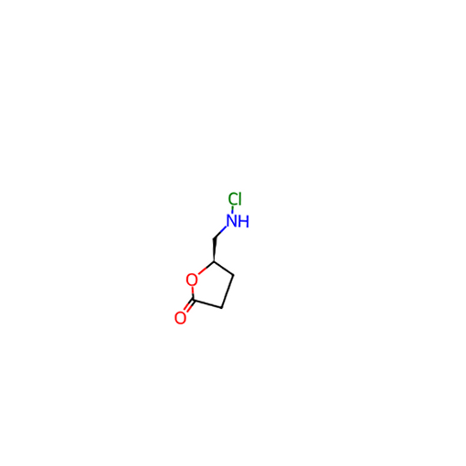 O=C1CC[C@H](CNCl)O1